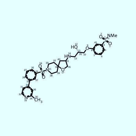 CNS(=O)(=O)c1cccc(OC[C@@H](O)CNC2COC3(CCN(S(=O)(=O)c4cccc(-c5ccnc(C)c5)c4)CC3)C2)c1